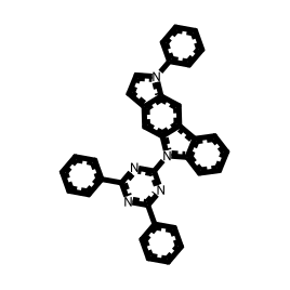 c1ccc(-c2nc(-c3ccccc3)nc(-n3c4ccccc4c4cc5c(ccn5-c5ccccc5)cc43)n2)cc1